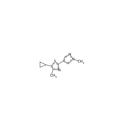 Cc1nc(-c2cnn(C)c2)sc1C1CC1